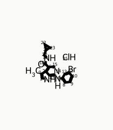 Cc1c[nH]c2c(Nc3cccc(Br)c3)ncc(C(=O)NCC3CC3)c12.Cl